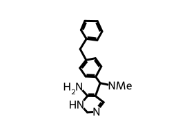 CNC(C1=C(N)NCN=C1)c1ccc(Cc2ccccc2)cc1